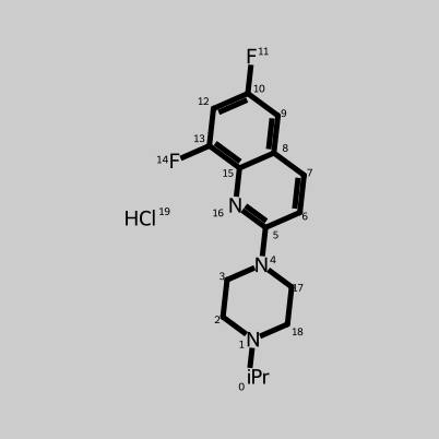 CC(C)N1CCN(c2ccc3cc(F)cc(F)c3n2)CC1.Cl